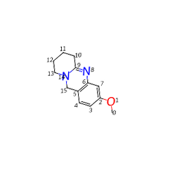 COc1ccc2c(c1)N=C1CCCCN1C2